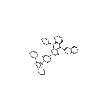 C1=C(c2c3ccccc3c(-c3ccccc3)c3cc(-c4ccc(-n5c(-c6ccccc6)nc6ccccc65)cc4)ccc23)CCc2ccccc21